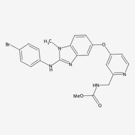 COC(=O)NCc1cc(Oc2ccc3c(c2)nc(Nc2ccc(Br)cc2)n3C)ccn1